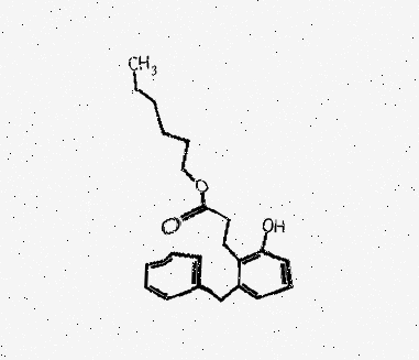 CCCCCCOC(=O)CCc1c(O)cccc1Cc1ccccc1